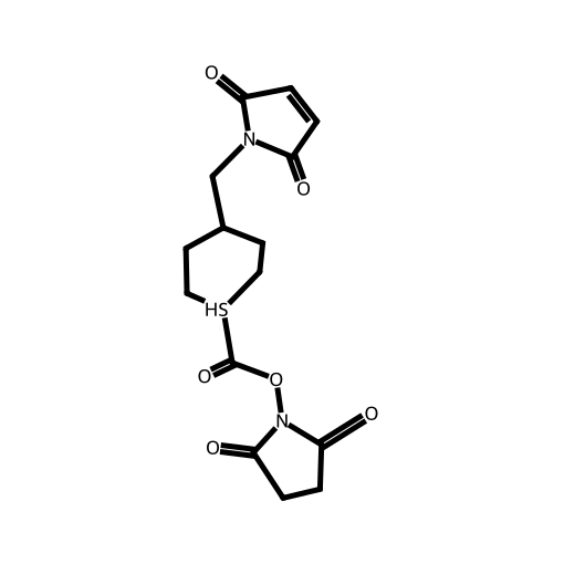 O=C1C=CC(=O)N1CC1CC[SH](C(=O)ON2C(=O)CCC2=O)CC1